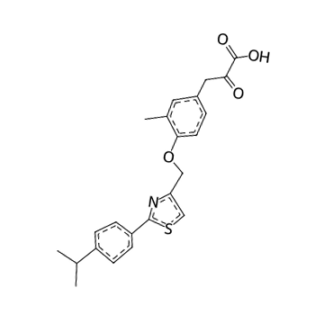 Cc1cc(CC(=O)C(=O)O)ccc1OCc1csc(-c2ccc(C(C)C)cc2)n1